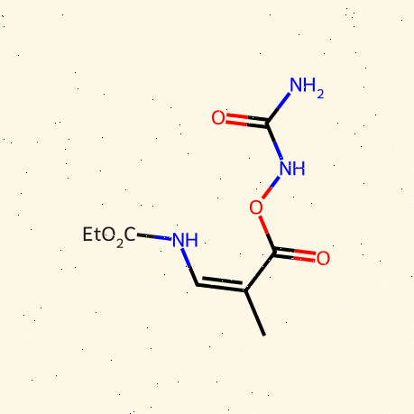 CCOC(=O)NC=C(C)C(=O)ONC(N)=O